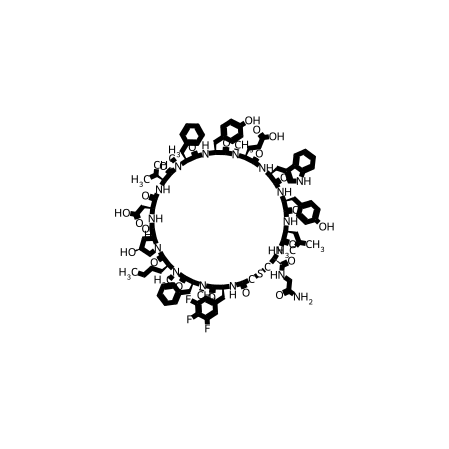 CCCC[C@H]1C(=O)N2C[C@H](O)C[C@@H]2C(=O)N[C@@H](CC(=O)O)C(=O)N[C@@H](C(C)C)C(=O)N(C)[C@@H](Cc2ccccc2)C(=O)N[C@@H](Cc2ccc(O)cc2)C(=O)N(C)[C@@H](CCC(=O)O)C(=O)N[C@@H](Cc2c[nH]c3ccccc23)C(=O)N[C@@H](Cc2ccc(O)cc2)C(=O)N[C@@H](CC(C)C)C(=O)N[C@H](C(=O)NCC(N)=O)CSCC(=O)N[C@@H](Cc2cc(F)c(F)c(F)c2)C(=O)N(C)[C@@H](Cc2ccccc2)C(=O)N1C